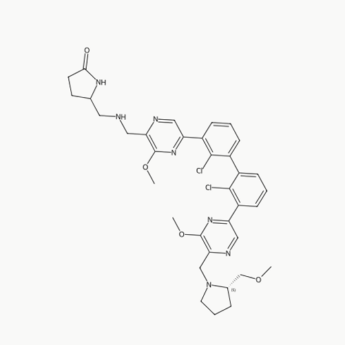 COC[C@@H]1CCCN1Cc1ncc(-c2cccc(-c3cccc(-c4cnc(CNCC5CCC(=O)N5)c(OC)n4)c3Cl)c2Cl)nc1OC